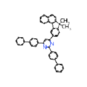 CC1(C)c2ccc(-c3cc(-c4ccc(-c5ccccc5)cc4)nc(-c4ccc(-c5ccccc5)cc4)n3)cc2-c2c1ccc1ccccc21